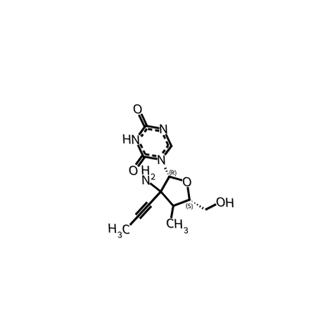 CC#CC1(N)C(C)[C@@H](CO)O[C@H]1n1cnc(=O)[nH]c1=O